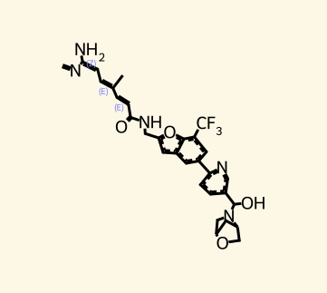 C=N\C(N)=C/C=C(C)/C=C/C(=O)NCc1cc2cc(-c3ccc(C(O)N4CC5CC4CO5)cn3)cc(C(F)(F)F)c2o1